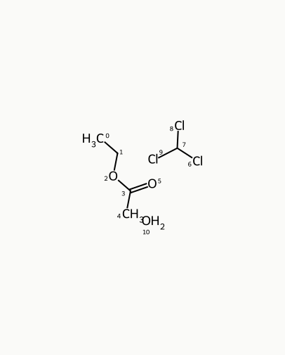 CCOC(C)=O.ClC(Cl)Cl.O